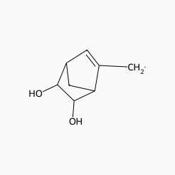 [CH2]C1=CC2CC1C(O)C2O